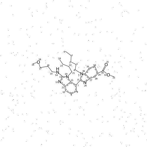 CCCCCn1c(-c2cccc3nc(NCCCOC)n(CCCC)c23)nc2cc(C(=O)OC)ccc21